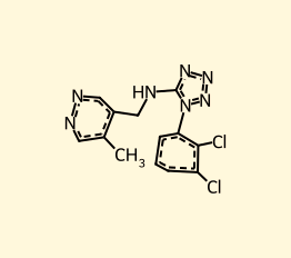 Cc1cnncc1CNc1nnnn1-c1cccc(Cl)c1Cl